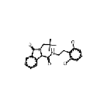 CC(C)(C)CN1C(=O)c2ccccc2C1C(=O)NCCc1c(Cl)cccc1Cl